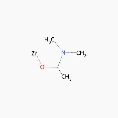 CC([O][Zr])N(C)C